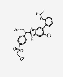 CC(=O)CC(c1ccc(S(=O)(=O)CC2CC2)cc1)c1nc2cc(-c3ccccc3OC(F)F)c(Cl)cc2[nH]1